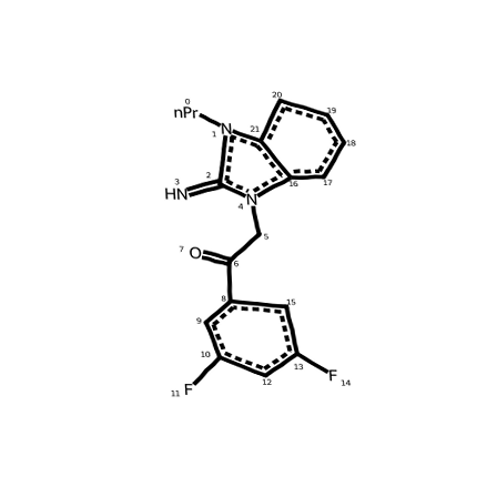 CCCn1c(=N)n(CC(=O)c2cc(F)cc(F)c2)c2ccccc21